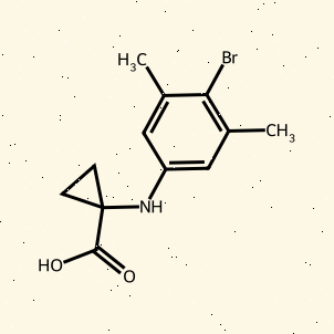 Cc1cc(NC2(C(=O)O)CC2)cc(C)c1Br